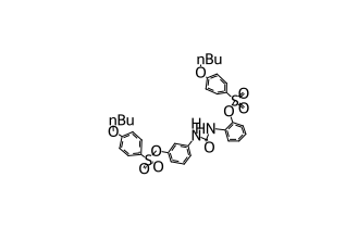 CCCCOc1ccc(S(=O)(=O)Oc2cccc(NC(=O)Nc3ccccc3OS(=O)(=O)c3ccc(OCCCC)cc3)c2)cc1